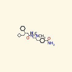 CN(C)[C@H](CNC(=O)C[C@@H](CC1CCC1)c1ccccc1)Cc1ccc(C(N)=O)cc1